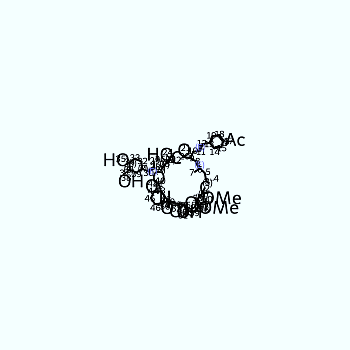 CO[C@H]1C[C@@H](C)C/C(C)=C/C(C/C=C/c2ccc(C(C)=O)cc2)C(=O)C[C@H](O)[C@@H](C)[C@@H](/C(C)=C/[C@@H]2CC[C@@H](O)[C@H](CO)C2)OC(=O)C2CCCCN2C(=O)C(=O)[C@]2(O)O[C@H]1[C@@H](OC)C[C@H]2C